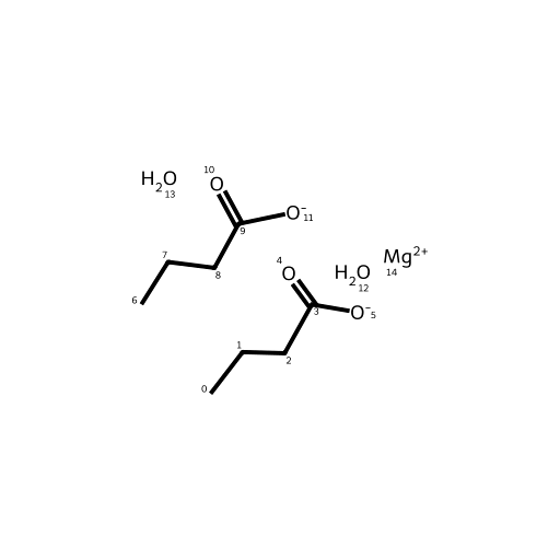 CCCC(=O)[O-].CCCC(=O)[O-].O.O.[Mg+2]